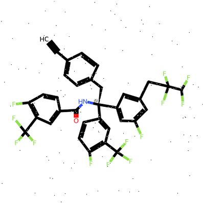 C#Cc1ccc(C[C@@](NC(=O)c2ccc(F)c(C(F)(F)F)c2)(c2cc(F)cc(CC(F)(F)C(F)F)c2)c2ccc(F)c(C(F)(F)F)c2)cc1